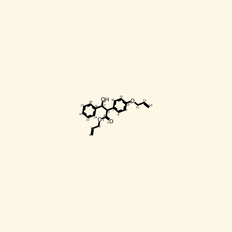 C=CCOC(=O)C(c1ccc(OCC=C)cc1)C(O)c1ccccc1